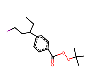 CCC(CCI)c1ccc(C(=O)OOC(C)(C)C)cc1